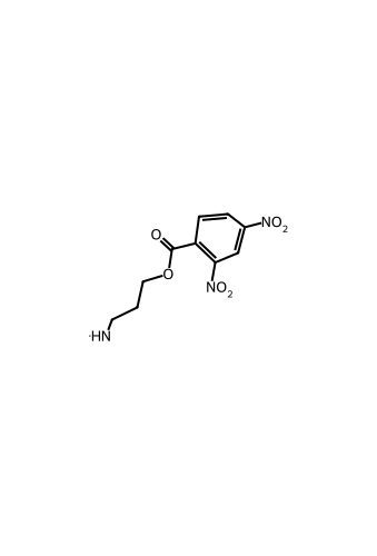 [NH]CCCOC(=O)c1ccc([N+](=O)[O-])cc1[N+](=O)[O-]